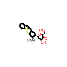 COc1cc(F)c(Cc2cc3ccccc3s2)cc1[C@H]1C[C@@H](O)C(=O)[C@@H](CO)O1